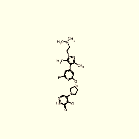 Cc1nn(CCN(C)C)c(C)c1-c1cc(F)nc(O[C@@H]2CCN(c3cn[nH]c(=O)c3Cl)C2)c1